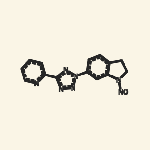 O=NN1CCc2ccc(-n3nnc(-c4ccccn4)n3)cc21